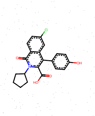 O=C(O)c1c(-c2ccc(O)cc2)c2cc(Cl)ccc2c(=O)n1C1CCCC1